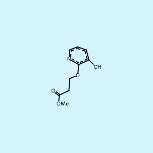 COC(=O)CCOc1ncccc1O